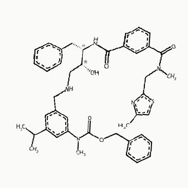 Cc1csc(CN(C)C(=O)c2cccc(C(=O)N[C@@H](Cc3ccccc3)[C@H](O)CNCc3cc(C(C)C)cc(N(C)C(=O)OCc4ccccc4)c3)c2)n1